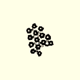 C1=Cc2c(ccc3c2Oc2cc(N(c4ccccc4)c4ccccc4)cc4c2B3c2cc3c(cc2N4c2ccccc2)N(c2ccccc2)c2cc(N(c4ccccc4)c4ccccc4)cc4c2B3c2ccccc2N4c2ccccc2)N(c2ccccc2)c2ccccc21